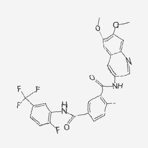 COc1cc2cc(NC(=O)c3cc(C(=O)Nc4cc(C(F)(F)F)ccc4F)ccc3C)cnc2cc1OC